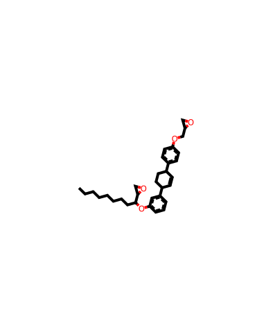 CCCCCCCCC(Oc1cccc(C2C=CC(c3ccc(OCC4CO4)cc3)CC2)c1)C1CO1